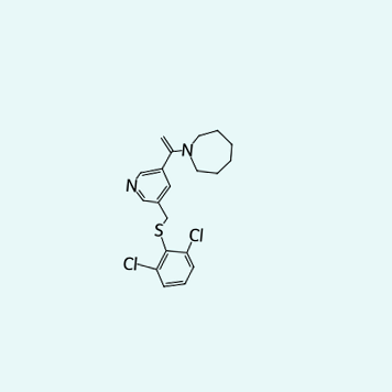 C=C(c1cncc(CSc2c(Cl)cccc2Cl)c1)N1CCCCCC1